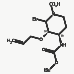 C=CCO[C@@H]1C(CC)N(C(=O)O)CC[C@H]1NC(=O)OC(C)(C)C